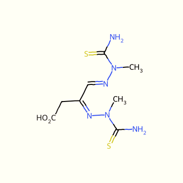 CN(N=CC(CC(=O)O)=NN(C)C(N)=S)C(N)=S